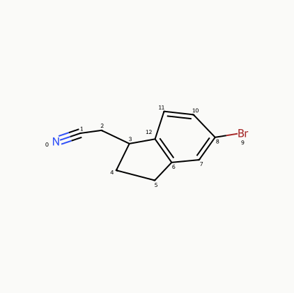 N#CCC1CCc2cc(Br)ccc21